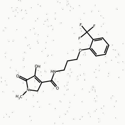 CN1CC(C(=O)NCCCOc2ccccc2C(F)(F)F)=C(O)C1=O